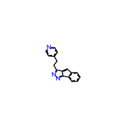 C1=C2C(CCc3ccncc3)=NN=C2c2ccccc21